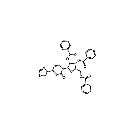 O=C(OC[C@H]1O[C@@H](n2ccc(-n3cncn3)nc2=O)[C@H](OC(=O)c2ccccc2)[C@@H]1OC(=O)c1ccccc1)c1ccccc1